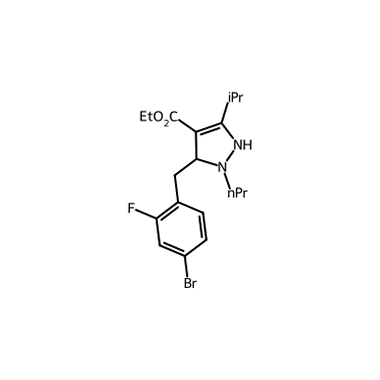 CCCN1NC(C(C)C)=C(C(=O)OCC)C1Cc1ccc(Br)cc1F